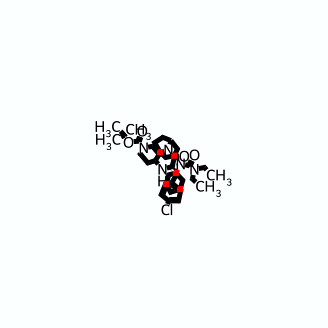 CCN(CC)C(=O)N(C1CCCCC1)C1CC2CCC(C1)N2C(=O)[C@@H](Cc1ccc(Cl)cc1)NC1CCN(C(=O)OC(C)(C)C)CC1